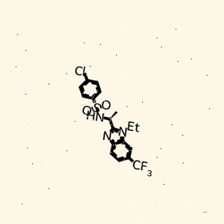 CCn1c([C@H](C)NS(=O)(=O)c2ccc(Cl)cc2)nc2ccc(C(F)(F)F)cc21